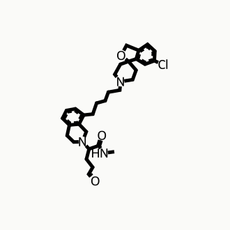 CNC(=O)C(CCC=O)N1CCc2cccc(CCCCCN3CCC4(CC3)OCc3ccc(Cl)cc34)c2C1